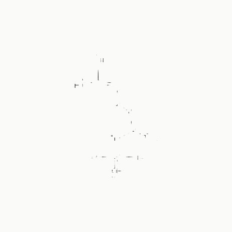 CC(C)=CCCC(C)OS(=O)(=O)O